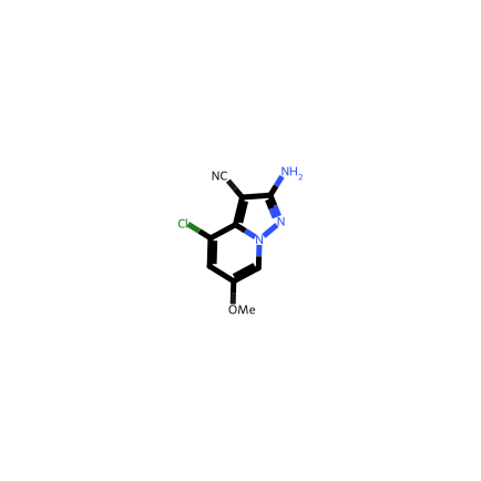 COc1cc(Cl)c2c(C#N)c(N)nn2c1